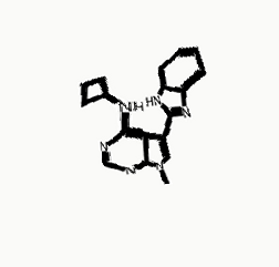 Cn1cc(-c2nc3ccccc3[nH]2)c2c(NC3CCC3)ncnc21